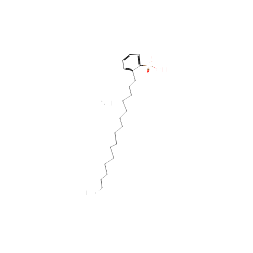 CCCCCCCCCCCCCCCCc1ccccc1S(=O)(=O)O.[NaH]